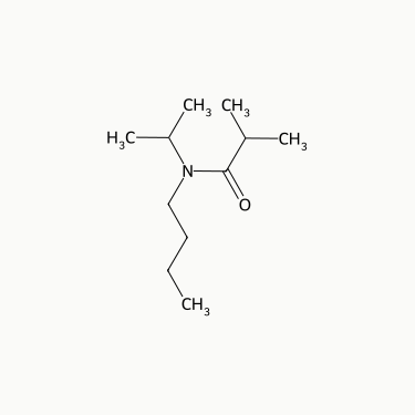 CCCCN(C(=O)C(C)C)C(C)C